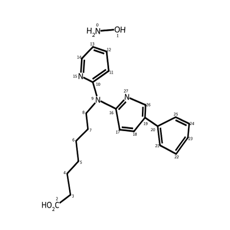 NO.O=C(O)CCCCCCN(c1ccccn1)c1ccc(-c2ccccc2)cn1